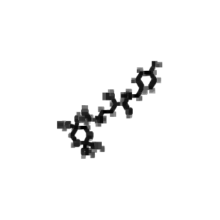 CC1(C)OCC(C)(C)[C@H](C(=O)NCCC(O)C(=O)NCc2ccc(F)cc2)O1